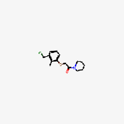 Cc1c(CCl)cccc1SCC(=O)N1CCCCC1